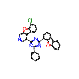 Clc1cccc2c1oc1cncc(-c3nc(-c4ccccc4)nc(-c4cccc5c4oc4ccccc45)n3)c12